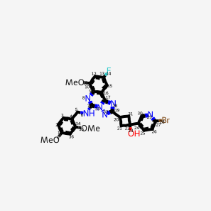 COc1ccc(CNc2nc3c(OC)cc(F)cc3c3nc(C4CC(O)(c5ccc(Br)nc5)C4)nn23)c(OC)c1